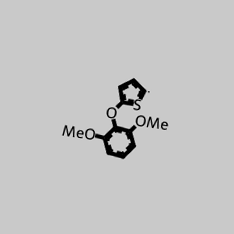 COc1cccc(OC)c1Oc1cc[c]s1